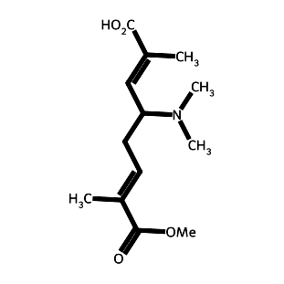 COC(=O)C(C)=CCC(C=C(C)C(=O)O)N(C)C